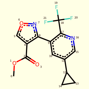 COC(=O)c1conc1-c1cc(C2CC2)cnc1C(F)(F)F